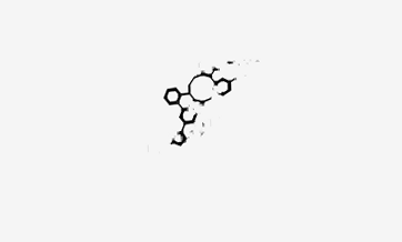 C=C(OCNC)C1=C(C)CCC2c3ccccc3-c3cc(-c4ccc(C)o4)c([Si](C)(C)C)c[n+]3C2C(=C)C[n+]2ccc(C(C)C)cc21